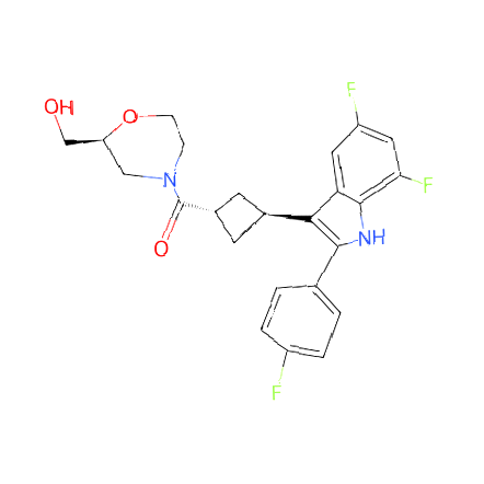 O=C([C@H]1C[C@H](c2c(-c3ccc(F)cc3)[nH]c3c(F)cc(F)cc32)C1)N1CCO[C@H](CO)C1